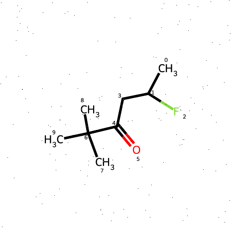 CC(F)CC(=O)C(C)(C)C